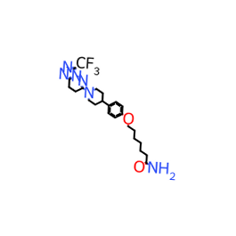 NC(=O)CCCCCCOc1ccc(C2CCN(C3=Nn4c(nnc4C(F)(F)F)CC3)CC2)cc1